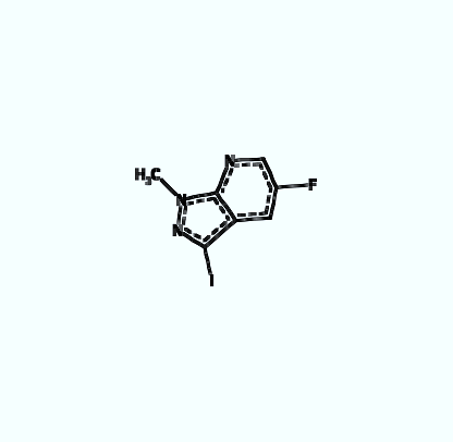 Cn1nc(I)c2cc(F)cnc21